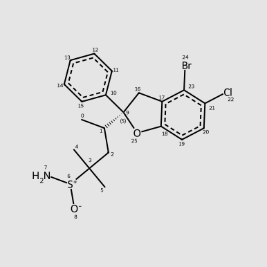 CC(CC(C)(C)[S+](N)[O-])[C@]1(c2ccccc2)Cc2c(ccc(Cl)c2Br)O1